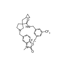 Cn1c(=O)oc2ccc(CN3CCC(CC4CC4)(C(=O)NCc4cc(C(F)(F)F)cc(C(F)(F)F)c4)C3)cc21